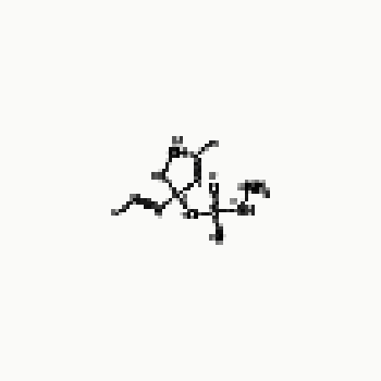 CC=CC(C=CC)(OS(=O)(=O)BN)SO